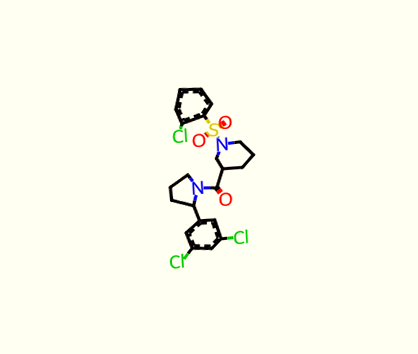 O=C(C1CCCN(S(=O)(=O)c2ccccc2Cl)C1)N1CCCC1c1cc(Cl)cc(Cl)c1